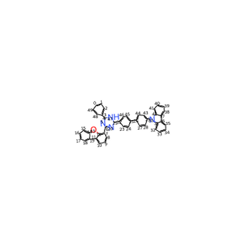 c1ccc(C2=NC(c3cccc4c3oc3ccccc34)=NC(c3ccc(-c4ccc(-n5c6ccccc6c6ccccc65)cc4)cc3)N2)cc1